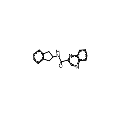 O=C(NC1Cc2ccccc2C1)c1cnc2ccccc2n1